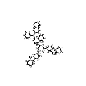 c1ccc(N(c2ccc3ccccc3c2)c2ccc(-c3cc(-c4ccc5c(c4)oc4ccccc45)cc(-c4ccc5c(c4)oc4ccccc45)c3)c3ccccc23)cc1